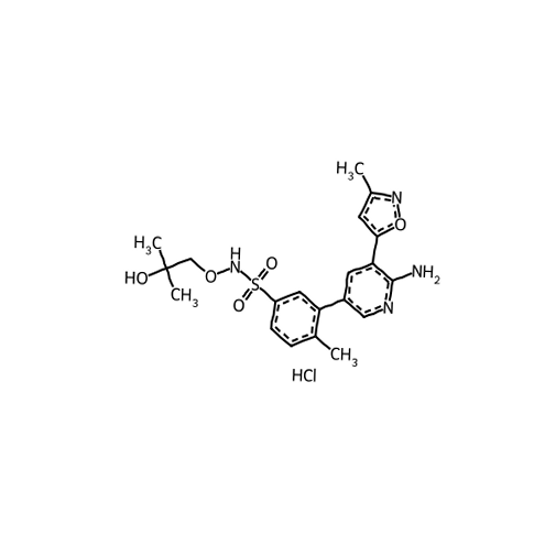 Cc1cc(-c2cc(-c3cc(S(=O)(=O)NOCC(C)(C)O)ccc3C)cnc2N)on1.Cl